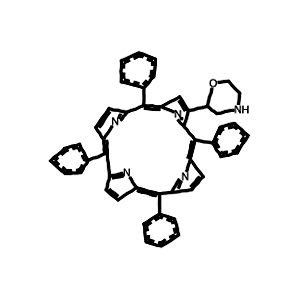 C1=CC2=C(c3ccccc3)C3=NC(=C(c4ccccc4)C4=NC(=C(c5ccccc5)C5=NC(=C(c6ccccc6)C1=N2)C=C5)C=C4C1CNCCO1)C=C3